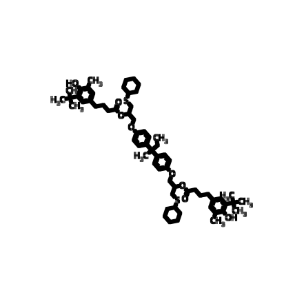 CCC(C)(c1ccc(OCC(CSC2CCCCC2)OC(=O)CCCc2cc(C)c(O)c(C(C)(C)C)c2)cc1)c1ccc(OCC(CSC2CCCCC2)OC(=O)CCCc2cc(C)c(O)c(C(C)(C)C)c2)cc1